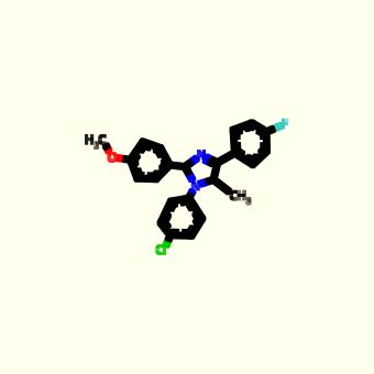 COc1ccc(C2N=C(c3ccc(F)cc3)C(C)N2c2ccc(Cl)cc2)cc1